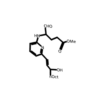 CCCCCCCCC(O)/C=C/c1cccc(NC(C=O)CCC(=O)OC)n1